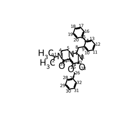 CC(C)N1CCn2c(Cc3ccccc3-c3ccccc3)nc(=O)c(OCc3ccccc3)c2C1=O